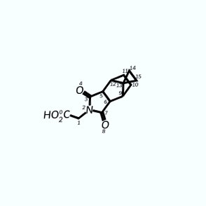 O=C(O)CN1C(=O)C2C(C1=O)C1CCC2C12CC2